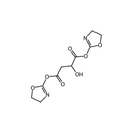 O=C(CC(O)C(=O)OC1=NCCO1)OC1=NCCO1